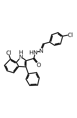 O=C(NN=Cc1ccc(Cl)cc1)c1[nH]c2c(Cl)cccc2c1-c1ccccc1